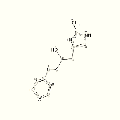 Cc1nc(CC(O)COc2ccccc2)c[nH]1